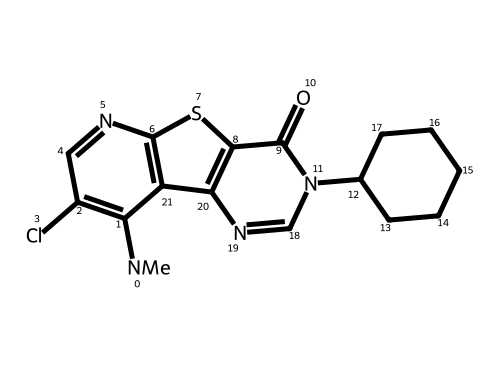 CNc1c(Cl)cnc2sc3c(=O)n(C4CCCCC4)cnc3c12